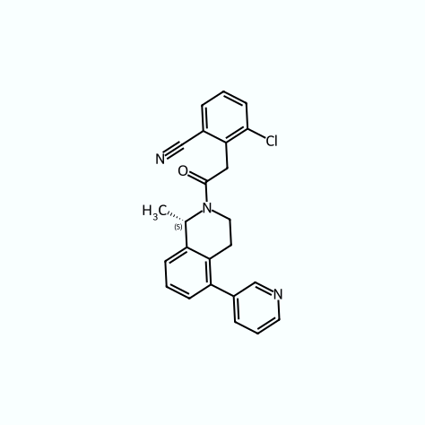 C[C@H]1c2cccc(-c3cccnc3)c2CCN1C(=O)Cc1c(Cl)cccc1C#N